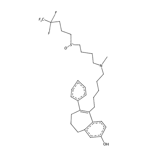 CN(CCCCCC1=C(c2ccccc2)CCCc2cc(O)ccc21)CCCC[S+]([O-])CCCC(F)(F)C(F)(F)F